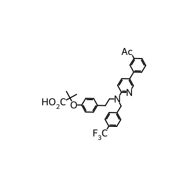 CC(=O)c1cccc(-c2ccc(N(CCc3ccc(OC(C)(C)C(=O)O)cc3)Cc3ccc(C(F)(F)F)cc3)nc2)c1